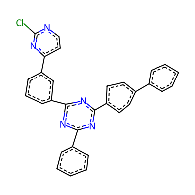 Clc1nccc(-c2cccc(-c3nc(-c4ccccc4)nc(-c4ccc(-c5ccccc5)cc4)n3)c2)n1